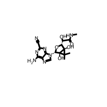 CNC(=O)C(O)[C@H]1O[C@@H](n2cnc3c(N)nc(C#N)nc32)[C@@]2(O)C(C)(C)[C@@]12O